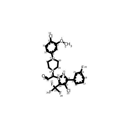 COc1cc(N2CCN(C(C=O)n3nc(-c4cccc(F)c4)c(Cl)c3C(F)(F)F)CC2)ccc1Cl